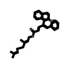 CC(C)=CCC/C(C)=C/COC(=O)/C=C/C(=C/c1ccccc1)c1c(C=O)ccc2ccccc12